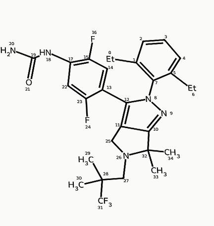 CCc1cccc(CC)c1-n1nc2c(c1-c1cc(F)c(NC(N)=O)cc1F)CN(CC(C)(C)C(F)(F)F)C2(C)C